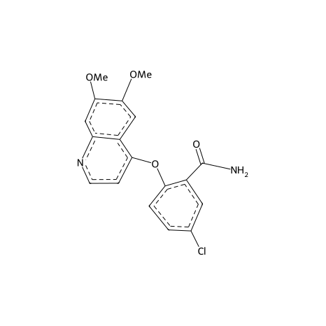 COc1cc2nccc(Oc3ccc(Cl)cc3C(N)=O)c2cc1OC